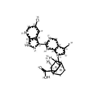 O=C(O)[C@@H]1C2CCC(CC2)[C@H]1n1cc(F)c2cnc(-c3n[nH]c4ncc(Cl)cc34)nc21